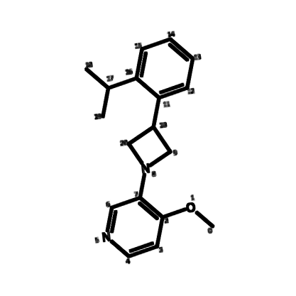 COc1ccncc1N1CC(c2ccccc2C(C)C)C1